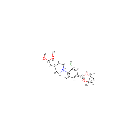 COC(CC1CCN(c2c(C)cc(B3OC(C)(C)C(C)(C)O3)cc2F)CC1)OC